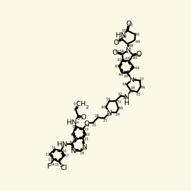 C=CC(=O)Nc1cc2c(Nc3ccc(F)c(Cl)c3)ncnc2cc1OCCCN1CCC(CN[C@@H]2CCCN(c3ccc4c(c3)C(=O)N(C3CCC(=O)NC3=O)C4=O)C2)CC1